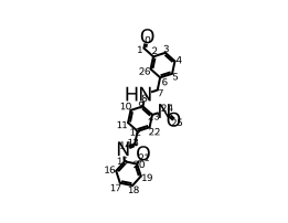 O=Cc1cccc(CNc2ccc(-c3nc4ccccc4o3)cc2N=O)c1